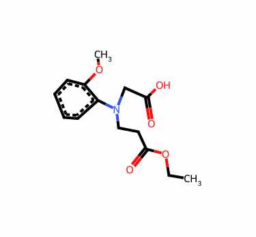 CCOC(=O)CCN(CC(=O)O)c1ccccc1OC